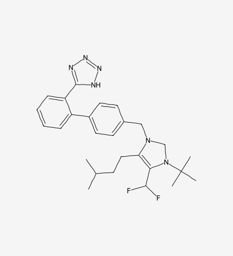 CC(C)CCC1=C(C(F)F)N(C(C)(C)C)CN1Cc1ccc(-c2ccccc2-c2nnn[nH]2)cc1